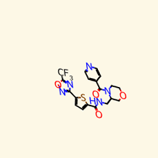 O=C(NCC1COCCN1C(=O)c1ccncc1)c1ccc(-c2noc(C(F)(F)F)n2)s1